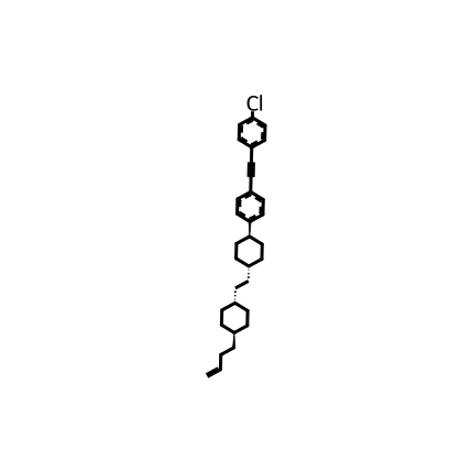 C=CCC[C@H]1CC[C@H](CC[C@H]2CC[C@H](c3ccc(C#Cc4ccc(Cl)cc4)cc3)CC2)CC1